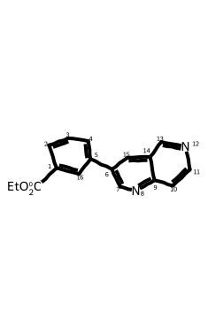 CCOC(=O)c1cccc(-c2cnc3ccncc3c2)c1